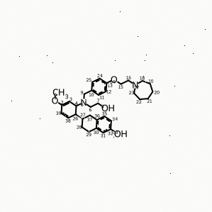 COC1=CC(N(CCO)Cc2ccc(OCCN3CCCCCC3)cc2)C([C@@H]2CCc3cc(O)ccc3C2)C=C1